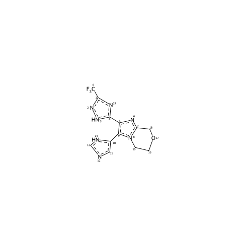 FC(F)(F)c1n[nH]c(-c2nc3n(c2-c2cnc[nH]2)CCOC3)n1